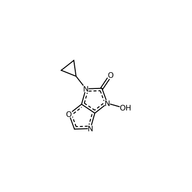 O=c1n(O)c2ncoc2n1C1CC1